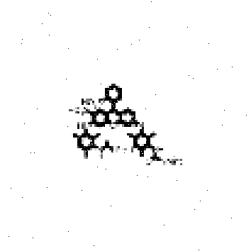 CCCCCC(=O)Nc1c(C)cc(C)c(/N=c2/ccc3c(-c4ccccc4S(=O)(=O)O)c4cc(S(=O)(=O)O)c(Nc5c(C)cc(C)c(NC(=O)CCCCC)c5C)cc4oc-3c2)c1C